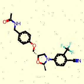 CC(=O)NCc1ccc(OC[C@@H]2CN(c3ccc(C#N)c(C(F)(F)F)c3)[C@@H](C)O2)cc1